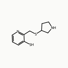 Sc1cccnc1CSC1CCNC1